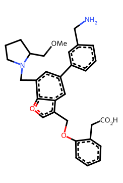 COCC1CCCN1Cc1cc(-c2cccc(CN)c2)cc2c(COc3ccccc3CC(=O)O)coc12